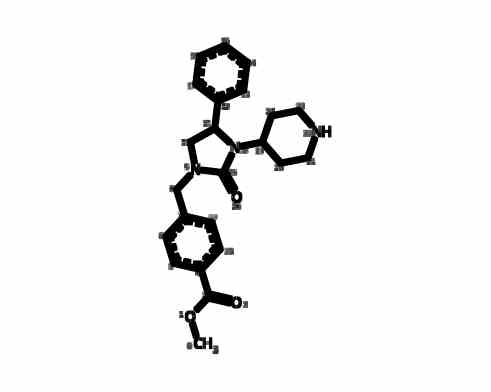 COC(=O)c1ccc(CN2CC(c3ccccc3)N(C3CCNCC3)C2=O)cc1